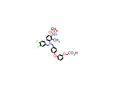 Cc1c(NS(C)(=O)=O)cccc1N(Cc1ccc(Oc2cccc(OCC(=O)O)c2)cc1)Cc1ccc(F)c(F)c1